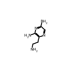 Bc1cnc(CCN)c(N)n1